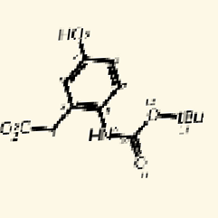 CCOC(=O)Cc1cc(O)ccc1NC(=O)OC(C)(C)C